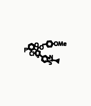 COc1ccc(COC(=O)[C@]2(c3cccc(F)c3C)C=C(c3ccc4sc(C5CC5)nc4c3)CC2)cc1